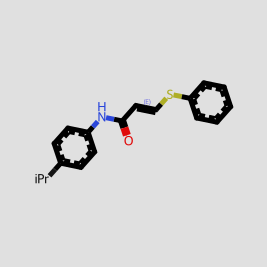 CC(C)c1ccc(NC(=O)/C=C/Sc2ccccc2)cc1